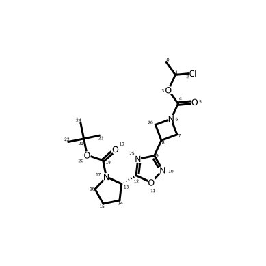 CC(Cl)OC(=O)N1CC(c2noc([C@@H]3CCCN3C(=O)OC(C)(C)C)n2)C1